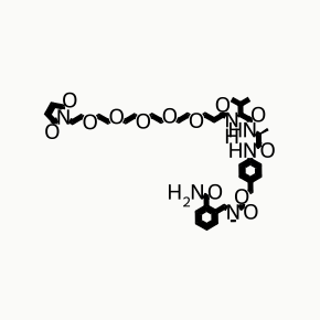 CC(C)[C@H](NC(=O)CCOCCOCCOCCOCCOCCN1C(=O)C=CC1=O)C(=O)N[C@@H](C)C(=O)Nc1ccc(COC(=O)N(C)Cc2ccccc2C(N)=O)cc1